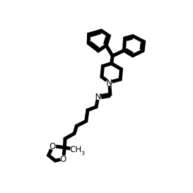 CC1(CCCCCC/N=C/N2CCC(C(c3ccccc3)c3ccccc3)CC2)OCCO1